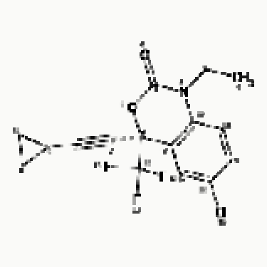 CCN1C(=O)O[C@](C#CC2CC2)(C(F)(F)F)c2cc(Cl)ccc21